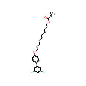 C=CC(=O)OCCCCCCCCCCOc1ccc(-c2cc(F)cc(F)c2)cc1